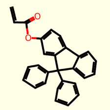 C=CC(=O)Oc1ccc2c(c1)C(c1ccccc1)(c1ccccc1)c1ccccc1-2